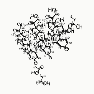 CC(=O)O.CCC(=O)O.CCC(=O)O.C[C@H]1C[C@H]2[C@@H]3CCC4=CC(=O)C=C[C@]4(C)[C@@]3(F)[C@@H](O)C[C@]2(C)[C@@]1(O)C(=O)CO.C[C@H]1C[C@H]2[C@@H]3CCC4=CC(=O)C=C[C@]4(C)[C@@]3(F)[C@@H](O)C[C@]2(C)[C@@]1(O)C(=O)CO.C[C@H]1C[C@H]2[C@@H]3CCC4=CC(=O)C=C[C@]4(C)[C@@]3(F)[C@@H](O)C[C@]2(C)[C@@]1(O)C(=O)CO